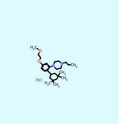 CCCN1CCN(c2cc(OCCOC)ccc2C2CC(C)(C)CC(C)(C)C2)CC1.Cl